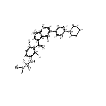 CCN(C)S(=O)(=O)Nc1ccc(F)c(C(=O)c2c[nH]c3ncc(-c4cnc(N5CCCCC5)nc4)c(C)c23)c1F